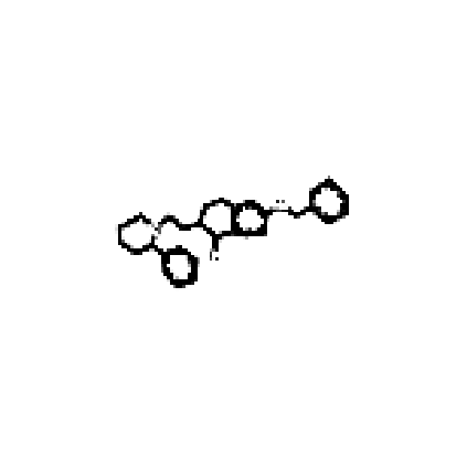 O=C1c2ccc(OCc3ccccc3)cc2CCC1CCN1CCCCC1c1ccccc1